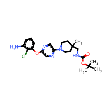 CC1(CNC(=O)OC(C)(C)C)CCN(c2cnc(Oc3cccc(N)c3Cl)cn2)CC1